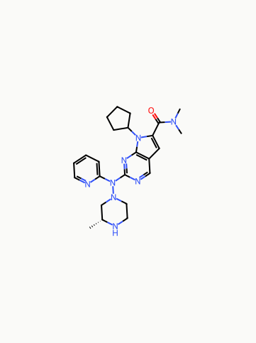 C[C@@H]1CN(N(c2ccccn2)c2ncc3cc(C(=O)N(C)C)n(C4CCCC4)c3n2)CCN1